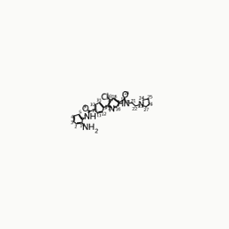 Nc1ccccc1NC(=O)c1ccc(-c2ncc(C(=O)NCCN3CCCC3)cc2Cl)cc1